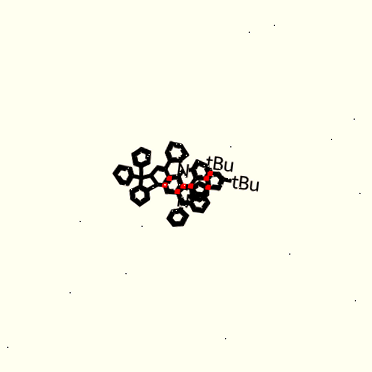 CC(C)(C)c1cc(-c2cccc3cccc(-c4ccccc4N(c4ccccc4C4=CC5C(C=C4)c4ccccc4C5(c4ccccc4)c4ccccc4)c4cccc5c4c4ccccc4n5-c4ccccc4)c23)cc(C(C)(C)C)c1